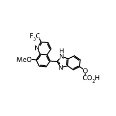 COc1ccc(-c2nc3cc(OC(=O)O)ccc3[nH]2)c2ccc(C(F)(F)F)nc12